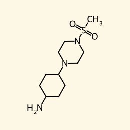 CS(=O)(=O)N1CCN(C2CCC(N)CC2)CC1